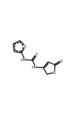 O=C1C=C(NC(=S)Nc2cccs2)CO1